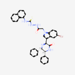 O=C(Cn1cc(C2=N[C@@H](c3ccccc3)[C@H](c3ccccc3)NC2=O)c2cc(Br)ccc21)NNC(=S)Nc1cccc2ccccc12